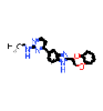 CCNc1nccc(-c2ccc3[nH]c(C4COc5ccccc5O4)nc3c2)n1